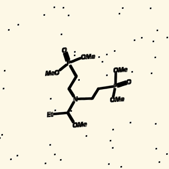 CCC(OC)N(CCP(=O)(OC)OC)CCP(=O)(OC)OC